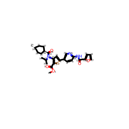 COC(=O)c1sc(-c2ccc(NC(=O)c3ccco3)nc2)cc1N(C(=O)[C@H]1CC[C@H](C)CC1)C(C)C